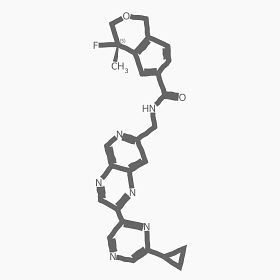 C[C@@]1(F)COCc2ccc(C(=O)NCc3cc4nc(-c5cncc(C6CC6)n5)cnc4cn3)cc21